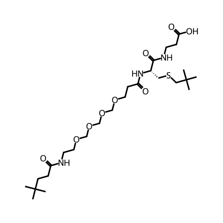 CC(C)(C)CCC(=O)NCCOCOCOCOCCC(=O)N[C@@H](CSCC(C)(C)C)C(=O)NCCC(=O)O